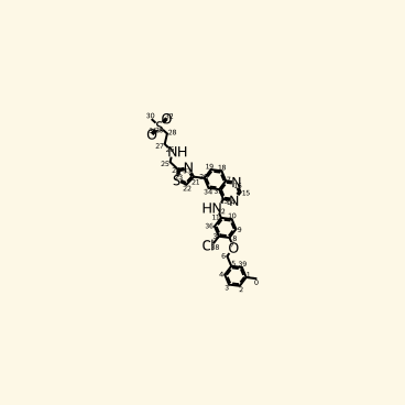 Cc1cccc(COc2ccc(Nc3ncnc4ccc(-c5csc(CNCCS(C)(=O)=O)n5)cc34)cc2Cl)c1